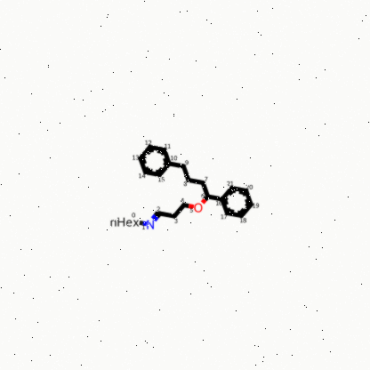 CCCCCCN=CCCOC(CCCc1ccccc1)c1ccccc1